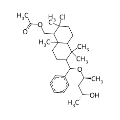 CC(=O)OCC1C(C)(Cl)CCC2C(C)(C)C(C(O[C@@H](C)C[C@@H](C)O)c3ccccc3)CCC12C